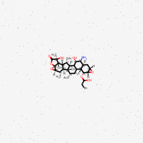 CC(=O)O[C@H]1[C@@H]2[C@H]([C@H](C)[C@H]3O[C@]34OC(=O)[C@@](C)(O)[C@]24C)[C@@]2(C)[C@@H](OC(C)=O)CC3C([C@@H](O)[C@@H](N)[C@H]4C[C@@H]5O[C@@H]5[C@H](OC(O)CC(C)C)[C@]34C)[C@H]12